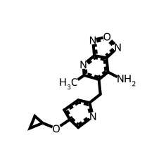 Cc1nc2nonc2c(N)c1Cc1ccc(OC2CC2)cn1